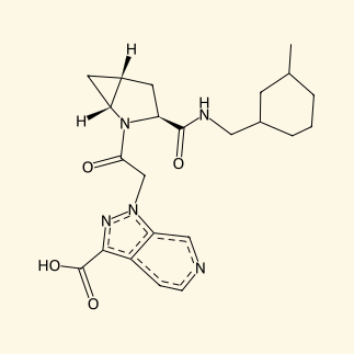 CC1CCCC(CNC(=O)[C@@H]2C[C@H]3C[C@H]3N2C(=O)Cn2nc(C(=O)O)c3ccncc32)C1